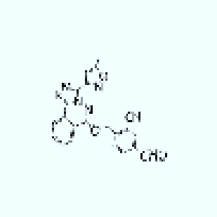 Cc1cc(-c2nnc3c4ccccc4c(OCc4ccc(C=O)cc4C#N)nn23)no1